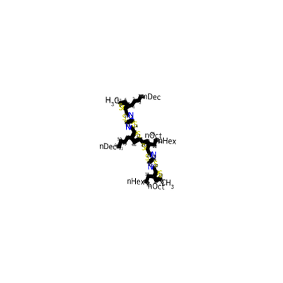 CCCCCCCCCCCCCCc1cc(C)sc1-c1nc2sc(-c3sc(-c4cc(CC(CCCCCC)CCCCCCCC)c(-c5nc6sc(-c7sc(C)cc7CC(CCCCCC)CCCCCCCC)nc6s5)s4)cc3CCCCCCCCCCCCCC)nc2s1